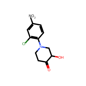 O=C1CCN(c2ccc([N+](=O)[O-])cc2Cl)CC1O